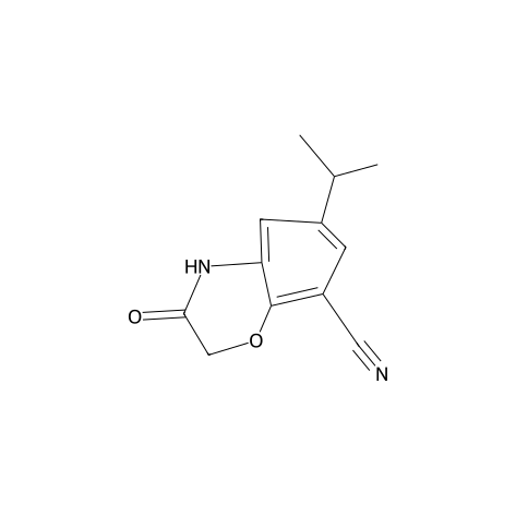 CC(C)c1cc(C#N)c2c(c1)NC(=O)CO2